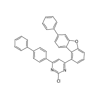 Clc1nc(-c2ccc(-c3ccccc3)cc2)cc(-c2cccc3oc4cc(-c5ccccc5)ccc4c23)n1